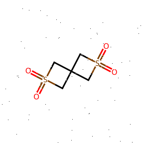 O=S1(=O)CC2(C1)CS(=O)(=O)C2